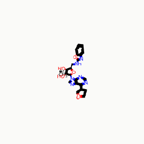 CC(C)=O.O[C@@H]1[C@H](O)[C@H](n2cnc3c(C4CCOC4)ncnc32)O[C@@H]1CNc1nc2ccccc2o1